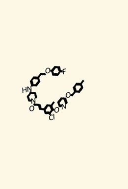 Cc1ccc(COc2ccc(Oc3c(C)cc(C=CC(=O)N4CCC(Nc5ccc(CCOc6ccc(F)cc6)cc5)CC4)cc3Cl)nc2)cc1